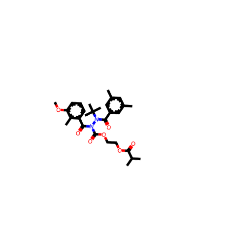 COc1cccc(C(=O)N(C(=O)OCCOC(=O)C(C)C)N(C(=O)c2cc(C)cc(C)c2)C(C)(C)C)c1C